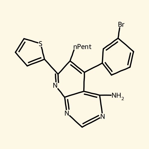 CCCCCc1c(-c2cccs2)nc2ncnc(N)c2c1-c1cccc(Br)c1